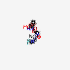 CC(C)(/C=C(\C#N)C(=O)N1CCC[C@@H](OC(=O)N[C@@H](Cc2ccccc2)B(O)O)C1)N1CCC(F)(F)C1